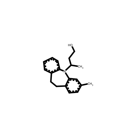 Cc1ccc2c(c1)N(C(C)CCO)c1ccccc1CC2